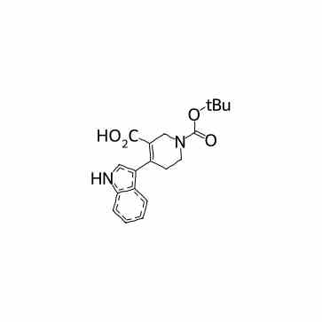 CC(C)(C)OC(=O)N1CCC(c2c[nH]c3ccccc23)=C(C(=O)O)C1